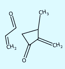 C=C1C(=O)CC1C.C=CC=O